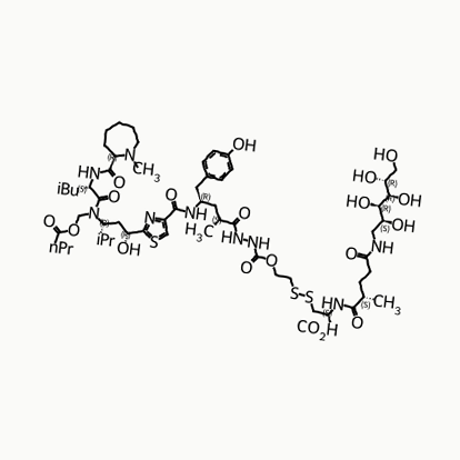 CCCC(=O)OCN(C(=O)C(NC(=O)[C@H]1CCCCCN1C)[C@@H](C)CC)[C@H](C[C@@H](O)c1nc(C(=O)N[C@@H](Cc2ccc(O)cc2)C[C@H](C)C(=O)NNC(=O)OCCSSC[C@@H](NC(=O)[C@@H](C)CCC(=O)NC[C@H](O)[C@@H](O)[C@H](O)[C@H](O)CO)C(=O)O)cs1)C(C)C